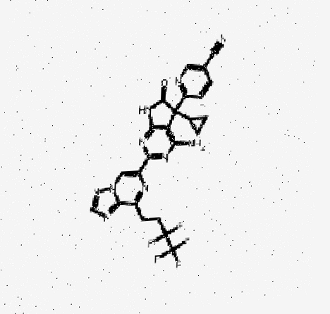 N#Cc1ccc(C2(C3CC3)C(=O)Nc3nc(-c4cn5ncnc5c(CCC(F)(F)C(F)(F)F)n4)nc(N)c32)nc1